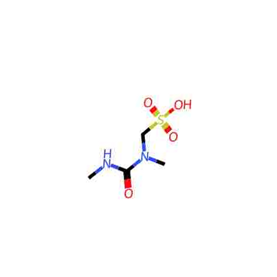 CNC(=O)N(C)CS(=O)(=O)O